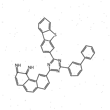 N=C1C=Cc2ccc3ccc(-c4nc(-c5cccc(-c6ccccc6)c5)nc(-c5ccc6c(c5)sc5ccccc56)n4)cc3c2C1=N